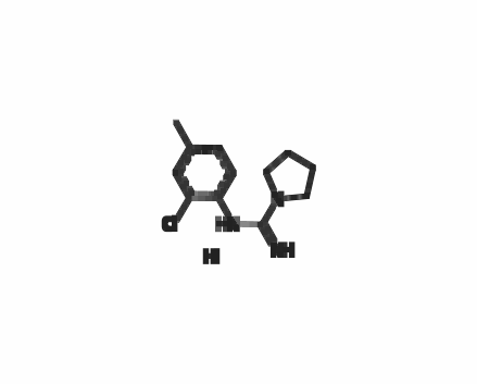 Cc1ccc(NC(=N)N2CCCC2)c(Cl)c1.I